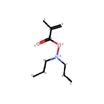 C=C(C)C(=O)ON(CCC)CCC